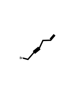 C=CCC#CCBr